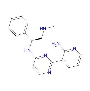 CNC[C@@H](Nc1ccnc(-c2cccnc2N)n1)c1ccccc1